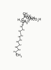 C=C(C)C(=O)O.C=C(C)C(=O)O.CCCCCCCCCCCCCC